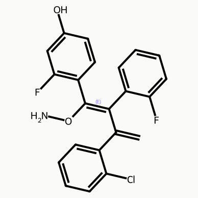 C=C(/C(=C(\ON)c1ccc(O)cc1F)c1ccccc1F)c1ccccc1Cl